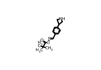 CC(C)(C)C(=O)ON=Cc1ccc(C2CNC2)cc1